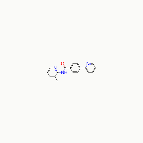 Cc1cccnc1NC(=O)c1ccc(-c2ccccn2)cc1